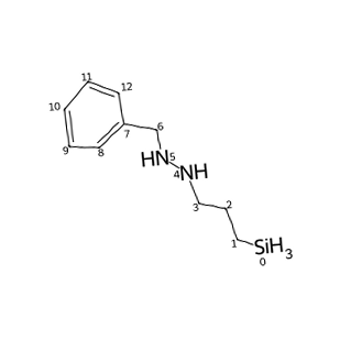 [SiH3]CCCNNCc1ccccc1